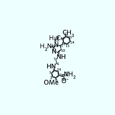 COc1ccc(NCCNC2=CC(c3cccc(C)c3C)NC(N)=N2)cc1[S@+](N)[O-]